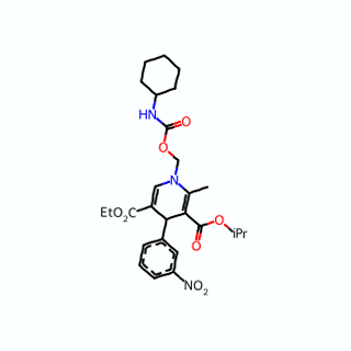 CCOC(=O)C1=CN(COC(=O)NC2CCCCC2)C(C)=C(C(=O)OC(C)C)C1c1cccc([N+](=O)[O-])c1